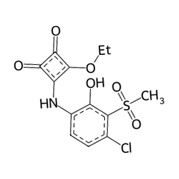 CCOc1c(Nc2ccc(Cl)c(S(C)(=O)=O)c2O)c(=O)c1=O